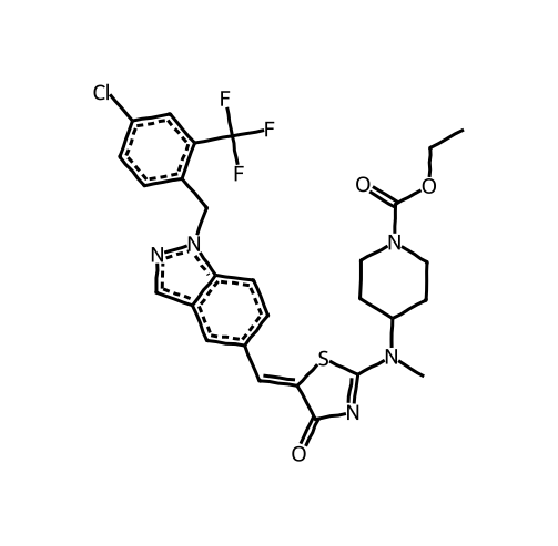 CCOC(=O)N1CCC(N(C)C2=NC(=O)/C(=C/c3ccc4c(cnn4Cc4ccc(Cl)cc4C(F)(F)F)c3)S2)CC1